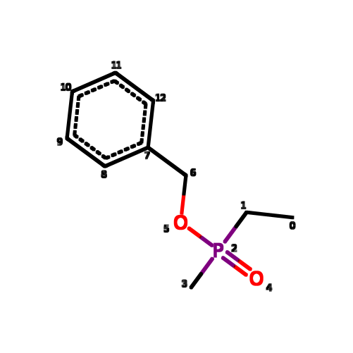 CCP(C)(=O)OCc1ccccc1